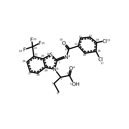 CCC(C(=O)O)n1c(=NC(=O)c2ccc(Cl)c(Cl)c2)sc2c(C(F)(F)F)cccc21